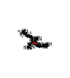 CC(CCC(=O)NCC(CNC(=O)CCC(C)C1CCC2C3CCC4CC(O[C@@H]5OC(CO)[C@@H](O[C@H]6OC(CO)[C@@H](O)C(O)[C@@H]6O)C(O)[C@@H]5C)CCC4(C)C3CCC12C)(CO[C@H]1OC(CO)[C@H](O[C@@H]2OC(CO)[C@H](O)C(O)[C@H]2O)C(O)[C@H]1O)CO[C@@H]1OC(CO)[C@@H](O[C@H]2OC(CO)[C@@H](O)C(O)[C@@H]2O)C(O)[C@@H]1O)C1CCC2C3CCC4CC(O[C@H]5OC(CO)[C@H](O[C@@H]6OC(CO)[C@H](O)C(O)[C@H]6O)C(O)[C@H]5O)CCC4(C)C3CCC12C